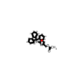 CC(=O)OCc1csc(NC(c2ccccc2)(c2ccccc2)c2ccccc2)n1